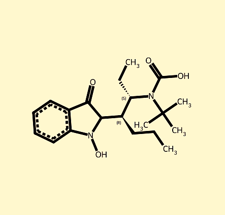 CCC[C@@H](C1C(=O)c2ccccc2N1O)[C@H](CC)N(C(=O)O)C(C)(C)C